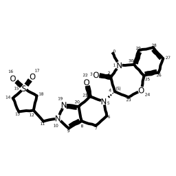 CN1C(=O)[C@@H](N2CCc3cn(CC4CCS(=O)(=O)C4)nc3C2=O)COc2ccccc21